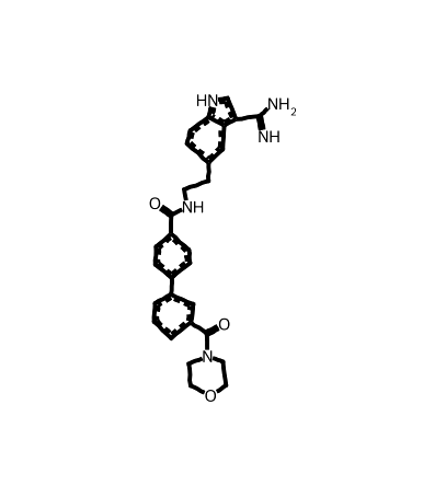 N=C(N)c1c[nH]c2ccc(CCNC(=O)c3ccc(-c4cccc(C(=O)N5CCOCC5)c4)cc3)cc12